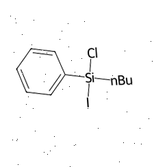 CCCC[Si](Cl)(I)c1ccccc1